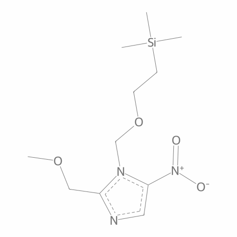 COCc1ncc([N+](=O)[O-])n1COCC[Si](C)(C)C